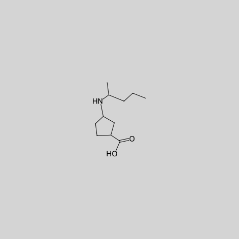 CCCC(C)NC1CCC(C(=O)O)C1